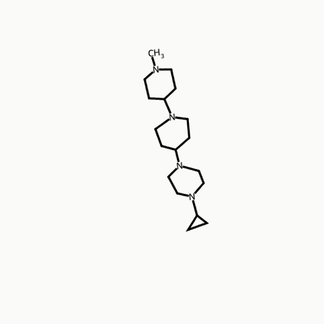 CN1CCC(N2CCC(N3CCN(C4CC4)CC3)CC2)CC1